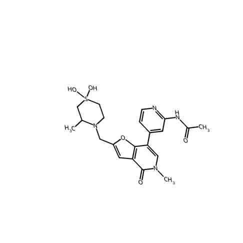 CC(=O)Nc1cc(-c2cn(C)c(=O)c3cc(CN4CCS(O)(O)CC4C)oc23)ccn1